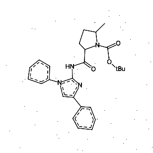 CC1CCC(C(=O)Nc2nc(-c3ccccc3)cn2-c2ccccc2)N1C(=O)OC(C)(C)C